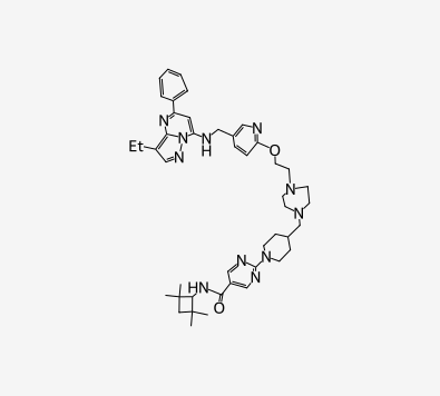 CCc1cnn2c(NCc3ccc(OCCN4CCN(CC5CCN(c6ncc(C(=O)NC7C(C)(C)CC7(C)C)cn6)CC5)CC4)nc3)cc(-c3ccccc3)nc12